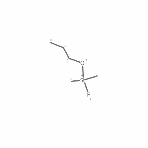 CCCO[Si](C)(C)F